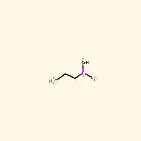 CCCP(C)[SeH]